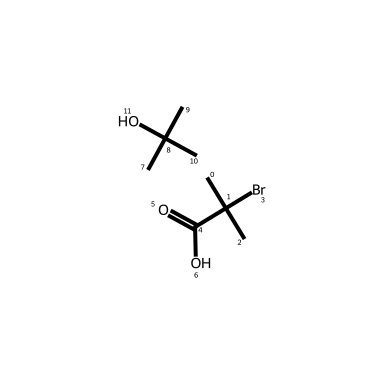 CC(C)(Br)C(=O)O.CC(C)(C)O